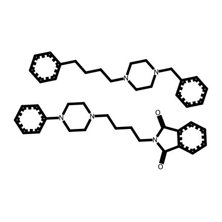 O=C1c2ccccc2C(=O)N1CCCCN1CCN(c2ccccc2)CC1.c1ccc(CCCCN2CCN(Cc3ccccc3)CC2)cc1